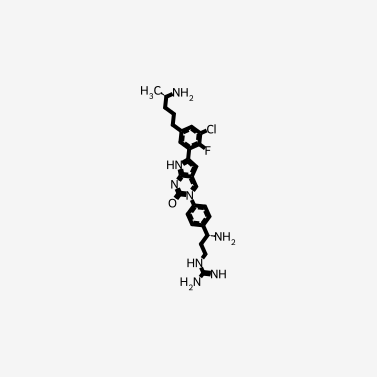 C[C@H](N)CCCc1cc(Cl)c(F)c(-c2cc3cn(-c4ccc([C@H](N)CCNC(=N)N)cc4)c(=O)nc3[nH]2)c1